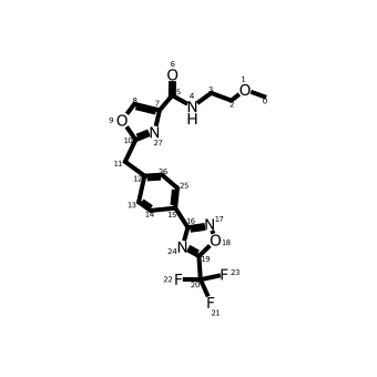 COCCNC(=O)c1coc(Cc2ccc(-c3noc(C(F)(F)F)n3)cc2)n1